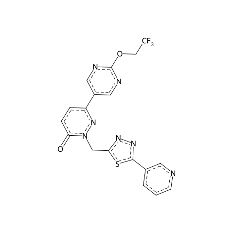 O=c1ccc(-c2cnc(OCC(F)(F)F)nc2)nn1Cc1nnc(-c2cccnc2)s1